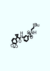 CC(C)(C)CCNS(=O)(=O)c1cccc(NC(=O)C2(c3ccc4c(c3)OCO4)CC2)c1